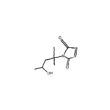 CC(O)CC(C)(C)N1C(=O)C=CC1=O